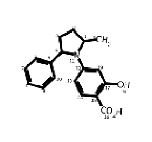 CC1CCC(c2ccccc2)N1c1ccc(C(=O)O)c(O)c1